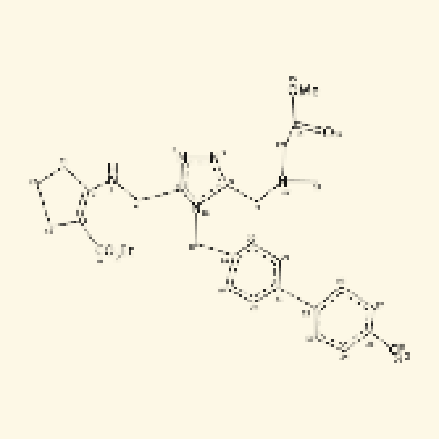 CCOC(=O)C1=C(NCc2nnc(CN(C)CC(=O)OC)n2Cc2ccc(-c3ccc(C(F)(F)F)cc3)cc2)CCC1